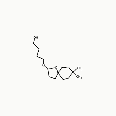 CC1(C)CCC2(CCC(OCCCCO)O2)CC1